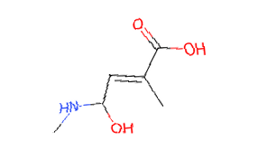 CNC(O)/C=C(\C)C(=O)O